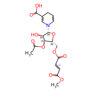 COC(=O)/C=C/C(=O)OC[C@H]1O[C@@H](N2C=CCC(C(=O)O)=C2)[C@H](O)[C@@H]1OC(C)=O